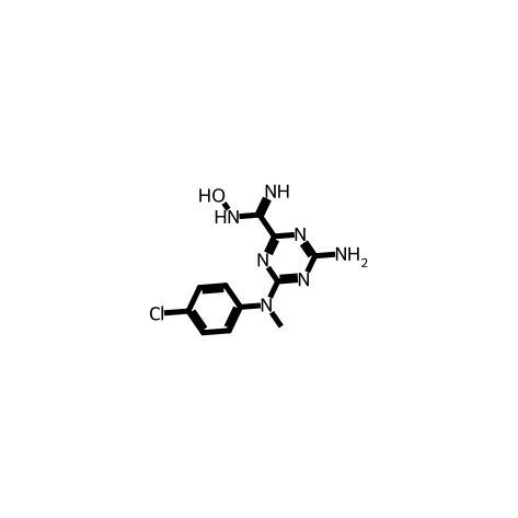 CN(c1ccc(Cl)cc1)c1nc(N)nc(C(=N)NO)n1